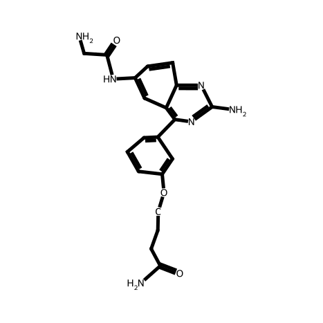 NCC(=O)Nc1ccc2nc(N)nc(-c3cccc(OCCCC(N)=O)c3)c2c1